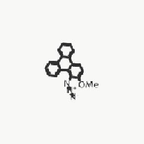 COc1ccc2c3ccccc3c3ccccc3c2c1N=[N+]=[N-]